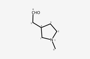 CN1CCC(CC=O)C1